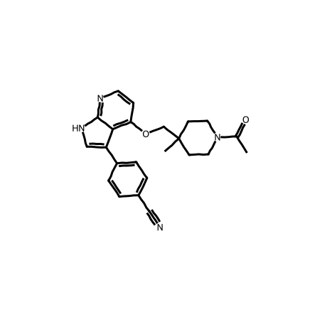 CC(=O)N1CCC(C)(COc2ccnc3[nH]cc(-c4ccc(C#N)cc4)c23)CC1